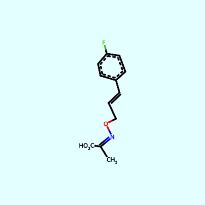 C/C(=N/OC/C=C/c1ccc(F)cc1)C(=O)O